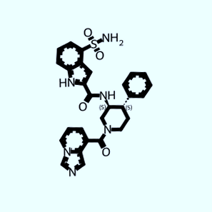 NS(=O)(=O)c1cccc2[nH]c(C(=O)N[C@@H]3CN(C(=O)c4cccn5cncc45)CC[C@H]3c3ccccc3)cc12